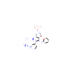 CC(C)(C)OC(=O)N1CC(=O)c2c(Nc3ccccc3)c(C3=CC(N=NN)NC=C3)n(N)c2C1